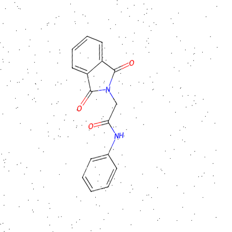 O=C(CN1C(=O)c2ccccc2C1=O)Nc1ccccc1